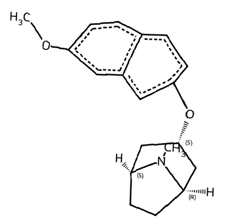 COc1ccc2ccc(O[C@@H]3C[C@H]4CC[C@@H](C3)N4C)cc2c1